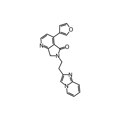 O=C1c2c(-c3ccoc3)ccnc2CN1CCc1cn2ccccc2n1